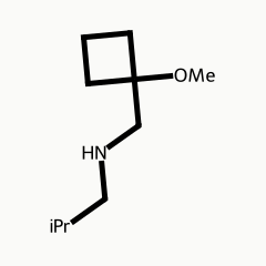 COC1(CNCC(C)C)CCC1